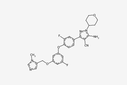 Cn1cncc1COc1cc(F)cc(Oc2ccc(-c3nn(C4CCOCC4)c(N)c3C#N)cc2F)c1